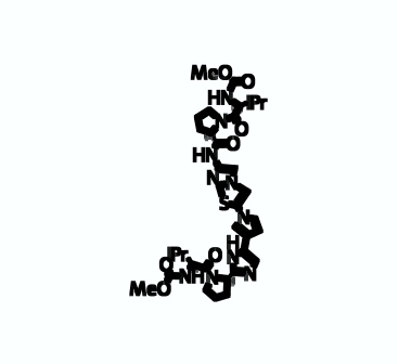 COC(=O)N[C@H](C(=O)N1CCC[C@H]1C(=O)Nc1cn2cc(-n3ccc(-c4cnc([C@@H]5CCCN5C(=O)[C@@H](NC(=O)OC)C(C)C)[nH]4)c3)sc2n1)C(C)C